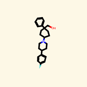 OCC1(c2ccccc2)CCC(N2CCC(c3ccc(F)cc3)CC2)CC1